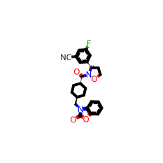 N#Cc1cc(F)cc([C@@H]2CCON2C(=O)[C@H]2CC[C@H](Cn3c(=O)oc4ccccc43)CC2)c1